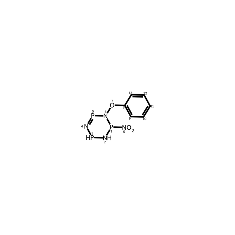 O=[N+]([O-])p1[nH][pH]npn1Oc1ccccc1